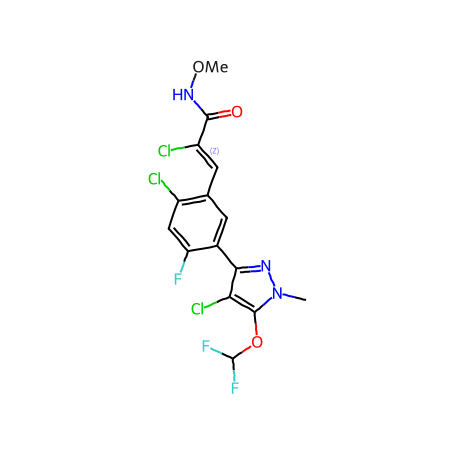 CONC(=O)/C(Cl)=C/c1cc(-c2nn(C)c(OC(F)F)c2Cl)c(F)cc1Cl